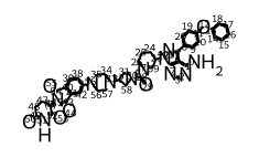 Nc1ncnc2c1c(-c1ccc(Oc3ccccc3)cc1)nn2C1CCCN(C(=O)N2CC(N3CCN(c4ccc5c(c4)C(=O)N([C@@H]4CCC(=O)NC4=O)C5=O)CC3)C2)C1